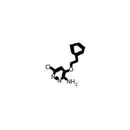 Nc1nnc(Cl)cc1OCCc1ccccc1